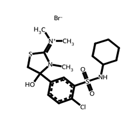 CN1C(=[N+](C)C)SCC1(O)c1ccc(Cl)c(S(=O)(=O)NC2CCCCC2)c1.[Br-]